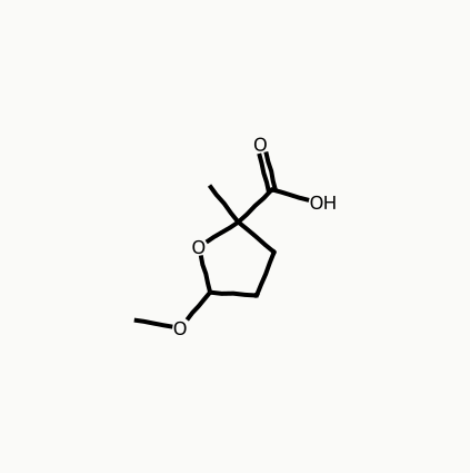 COC1CCC(C)(C(=O)O)O1